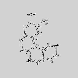 Oc1cc2ccc3ncc4ccccc4c3c2cc1O